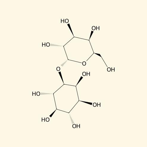 OC[C@H]1O[C@H](O[C@@H]2[C@@H](O)[C@H](O)[C@@H](O)[C@H](O)[C@@H]2O)[C@H](O)[C@@H](O)[C@H]1O